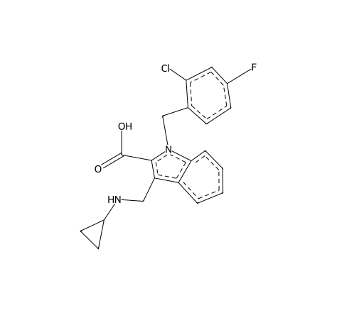 O=C(O)c1c(CNC2CC2)c2ccccc2n1Cc1ccc(F)cc1Cl